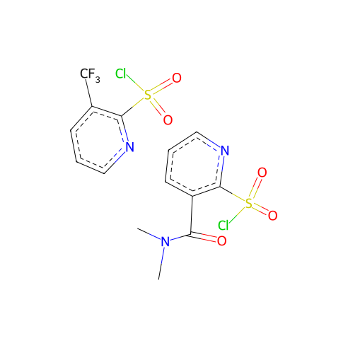 CN(C)C(=O)c1cccnc1S(=O)(=O)Cl.O=S(=O)(Cl)c1ncccc1C(F)(F)F